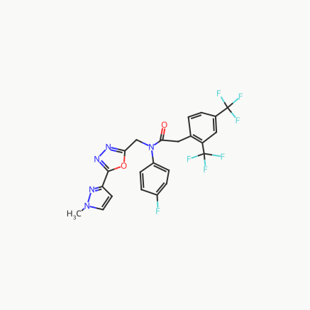 Cn1ccc(-c2nnc(CN(C(=O)Cc3ccc(C(F)(F)F)cc3C(F)(F)F)c3ccc(F)cc3)o2)n1